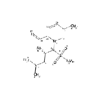 [CH2]C1=CN(N(CCN(C)C)S(=O)(=O)NC)C(C(N)=O)C=C1